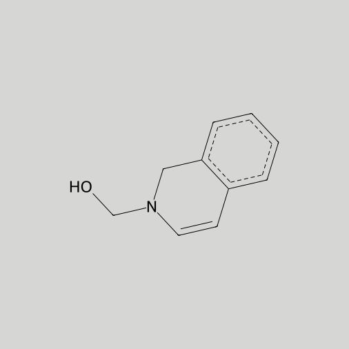 OCN1C=Cc2ccccc2C1